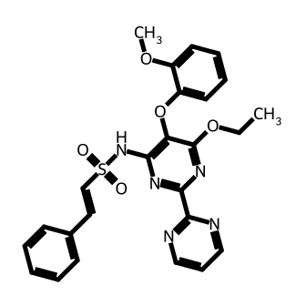 CCOc1nc(-c2ncccn2)nc(NS(=O)(=O)C=Cc2ccccc2)c1Oc1ccccc1OC